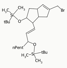 CCCCCC(/C=C/C1C(O[Si](C)(C)C(C)(C)C)CC2C=C(CBr)CC21)O[Si](C)(C)C(C)(C)C